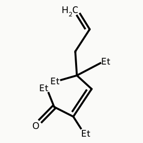 C=CCC(C=C(CC)C(=O)CC)(CC)CC